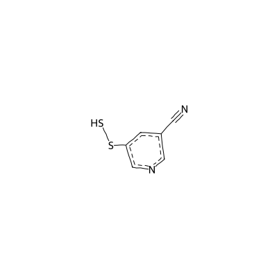 N#Cc1cncc(SS)c1